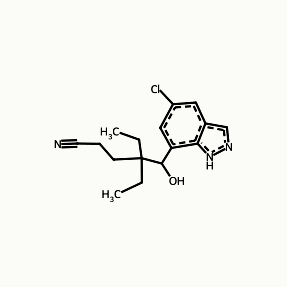 CCC(CC)(CCC#N)C(O)c1cc(Cl)cc2cn[nH]c12